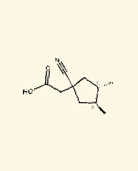 C[C@H]1CC(C#N)(CC(=O)O)C[C@@H]1C